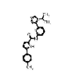 Cc1ccc(-c2ccc(C(=O)Nc3cccc(-c4nncn4C(C)C)n3)[nH]2)cc1